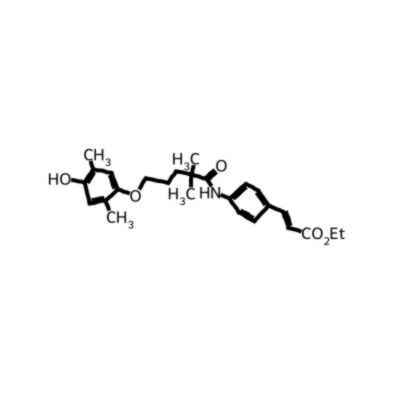 CCOC(=O)C=Cc1ccc(NC(=O)C(C)(C)CCCOc2cc(C)c(O)cc2C)cc1